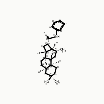 C[C@@H]1C[C@H]2[C@@H](CC[C@@H]3C[C@](C)(O)CC[C@@H]32)[C@@H]2C[C@H](C(=O)Nc3ccccc3)[C@H]21